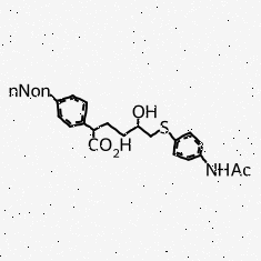 CCCCCCCCCc1ccc(C(CCC(O)CSc2ccc(NC(C)=O)cc2)C(=O)O)cc1